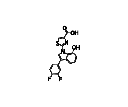 O=C(O)c1csc(-n2cc(-c3ccc(F)c(F)c3)c3cccc(O)c32)n1